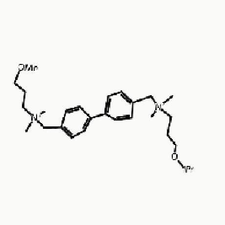 COCCC[N+](C)(C)Cc1ccc(-c2ccc(C[N+](C)(C)CCCOC(C)C)cc2)cc1